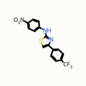 O=[N+]([O-])c1ccc(Nc2nc(-c3ccc(C(F)(F)F)cc3)cs2)cc1